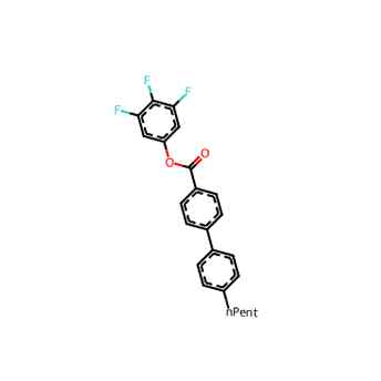 CCCCCc1ccc(-c2ccc(C(=O)Oc3cc(F)c(F)c(F)c3)cc2)cc1